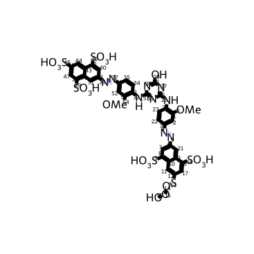 COc1cc(/N=N/c2cc(S(=O)(=O)O)c3cc(SOOO)cc(S(=O)(=O)O)c3c2)ccc1Nc1nc(O)nc(Nc2ccc(/N=N/c3cc(S(=O)(=O)O)c4cc(S(=O)(=O)O)cc(S(=O)(=O)O)c4c3)cc2OC)n1